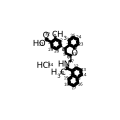 Cc1cc([C@H]2C[C@H](CN[C@H](C)c3cccc4ccccc34)Oc3ccccc32)ccc1C(=O)O.Cl